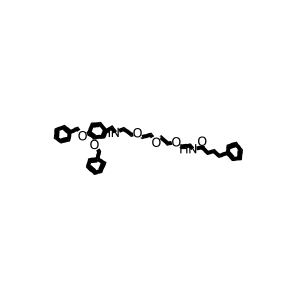 O=C(CCCc1ccccc1)NCCOCCOCCOCCNCc1ccc(OCc2ccccc2)c(OCc2ccccc2)c1